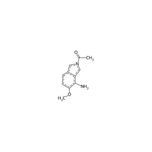 COc1ccc2cn(C(C)=O)cc2c1N